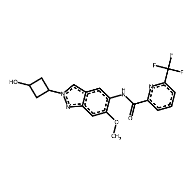 COc1cc2nn(C3CC(O)C3)cc2cc1NC(=O)c1cccc(C(F)(F)F)n1